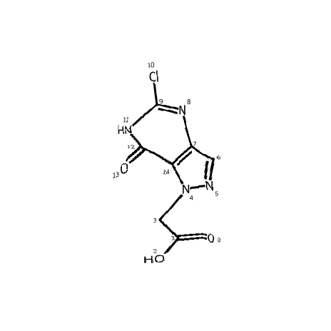 O=C(O)Cn1ncc2nc(Cl)[nH]c(=O)c21